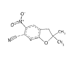 CC1(C)Cc2cc([N+](=O)[O-])c(C#N)cc2O1